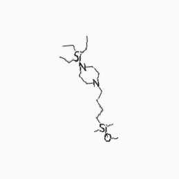 CC[Si](CC)(CC)N1CCN(CCCC[Si](C)(C)OC)CC1